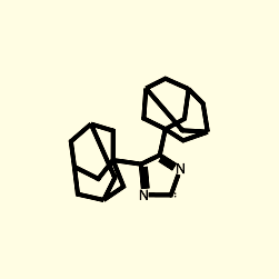 [C]1N=C(C23CC4CC(CC(C4)C2)C3)C(C23CC4CC(CC(C4)C2)C3)=N1